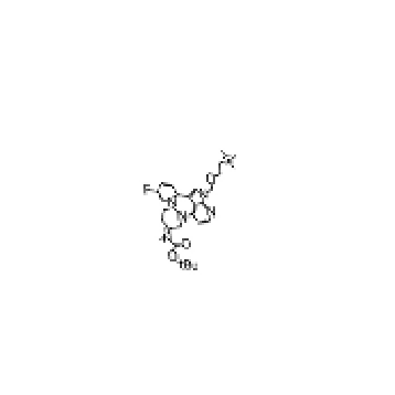 CN(C(=O)OC(C)(C)C)[C@H]1CCCN(c2ccnc3c2c(-c2ccc(F)cn2)cn3COCC[Si](C)(C)C)C1